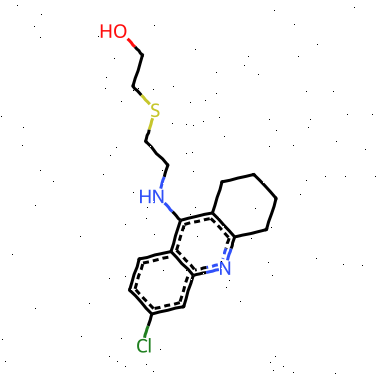 OCCSCCNc1c2c(nc3cc(Cl)ccc13)CCCC2